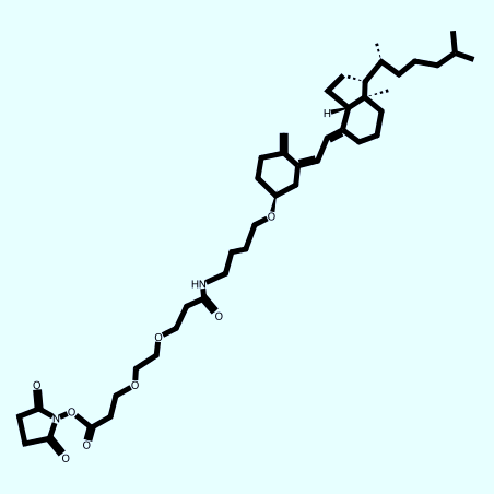 C=C1CC[C@H](OCCCCNC(=O)CCOCCOCCC(=O)ON2C(=O)CCC2=O)C/C1=C/C=C1\CCC[C@]2(C)[C@@H]([C@H](C)CCCC(C)C)CC[C@@H]12